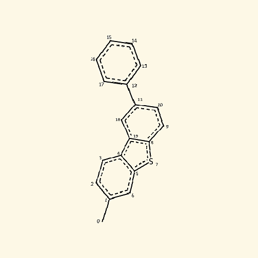 Cc1ccc2c(c1)sc1ccc(-c3ccccc3)cc12